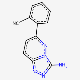 N#Cc1ccccc1-c1ccc2nnc(N)n2n1